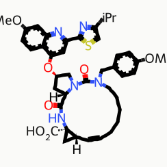 COc1ccc(CN2CCCCC/C=C\[C@@H]3C[C@@]3(C(=O)O)NC(=O)[C@@H]3C[C@@H](Oc4cc(-c5nc(C(C)C)cs5)nc5cc(OC)ccc45)CN3C2=O)cc1